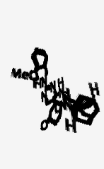 COc1ccccc1CNc1ncc(C#N)c(NCC23CC4C[C@H](C2)C(NC2CCC(=O)CC2)[C@@H](C4)C3)n1